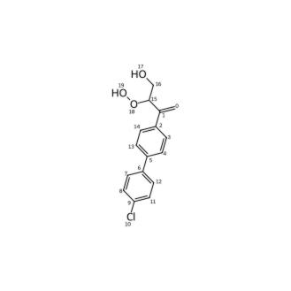 C=C(c1ccc(-c2ccc(Cl)cc2)cc1)C(CO)OO